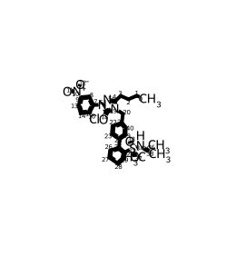 CCCCc1nn(-c2cc([N+](=O)[O-])ccc2Cl)c(=O)n1Cc1ccc(-c2ccccc2S(=O)(=O)NC(C)(C)C)cc1